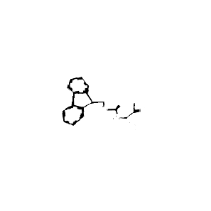 C[C@@H](NC(=O)OCC1c2ccccc2-c2ccccc21)C(=O)F